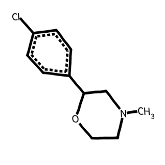 CN1CCOC(c2ccc(Cl)cc2)C1